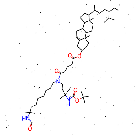 CCC(CCC(C)C1CCC2C3CC=C4CC(OC(=O)CCCC(=O)N(CCCCCCCC(C)(C)NC=O)CCC(C)(C)NC(=O)OC(C)(C)C)CCC4(C)C3CCC12C)C(C)C